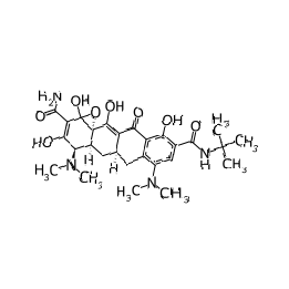 CN(C)c1cc(C(=O)NC(C)(C)C)c(O)c2c1C[C@H]1C[C@H]3[C@@H](N(C)C)C(O)=C(C(N)=O)C4(O)O[C@]34C(O)=C1C2=O